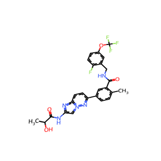 Cc1ccc(-c2ccc3nc(NC(=O)C(C)O)cn3n2)cc1C(=O)NCc1cc(OC(F)(F)F)ccc1F